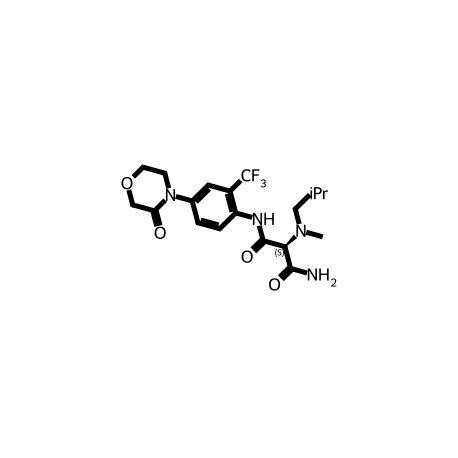 CC(C)CN(C)[C@@H](C(N)=O)C(=O)Nc1ccc(N2CCOCC2=O)cc1C(F)(F)F